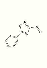 O=[C]c1noc(-c2ccccc2)n1